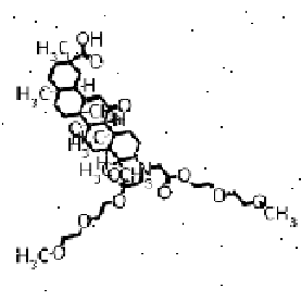 COCCOCCOC(=O)CN(CC(=O)OCCOCCOC)[C@H]1CC[C@]2(C)[C@H]3C(=O)C=C4[C@@H]5C[C@@](C)(C(=O)O)CC[C@]5(C)CC[C@@]4(C)[C@]3(C)CC[C@H]2C1(C)C